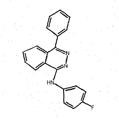 Fc1ccc(Nc2nnc(-c3ccccc3)c3ccccc23)cc1